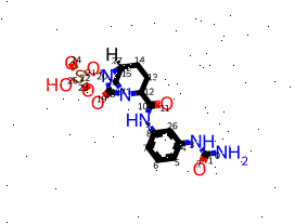 NC(=O)Nc1cccc(NC(=O)C2CC[C@@H]3CN2C(=O)N3OS(=O)(=O)O)c1